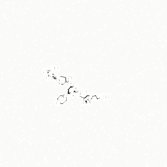 O=P(O)(O)CCN1CCC(Nc2cc(N3CCOCC3)nc(NCc3cn(CCO)nn3)n2)CC1